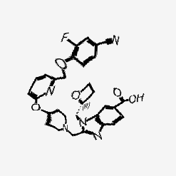 N#Cc1ccc(OCc2cccc(OC3CCN(Cc4nc5ccc(C(=O)O)cc5n4C[C@H]4CCO4)CC3)n2)c(F)c1